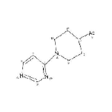 CC(=O)C1CCN(c2ccncn2)CC1